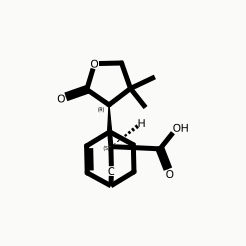 CC1(C)COC(=O)[C@@H]1C12C=CC(CC1)C[C@@H]2C(=O)O